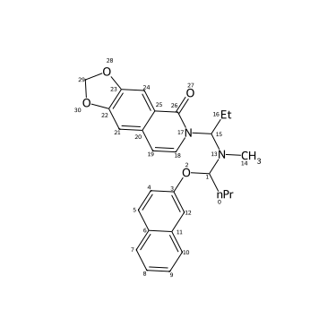 CCCC(Oc1ccc2ccccc2c1)N(C)C(CC)n1ccc2cc3c(cc2c1=O)OCO3